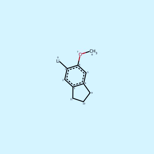 [Li][c]1cc2c(cc1OC)CCC2